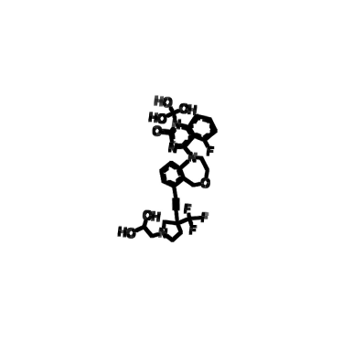 O=c1nc(N2CCOCc3c(C#CC4(C(F)(F)F)CCN(CC(O)O)C4)cccc32)c2c(F)cccc2n1C(O)(O)O